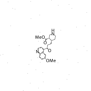 COC(=O)[C@H]1CNCC[C@H]1CCC(=O)c1ccnc2ccc(OC)cc12